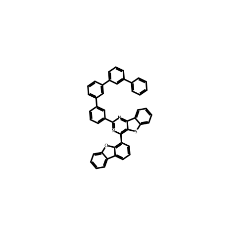 c1ccc(-c2cccc(-c3cccc(-c4cccc(-c5nc(-c6cccc7c6oc6ccccc67)c6sc7ccccc7c6n5)c4)c3)c2)cc1